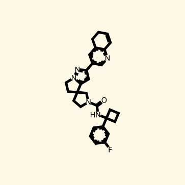 O=C(NC1(c2cccc(F)c2)CCC1)N1CCC2(CCn3nc(-c4cnc5c(c4)CCC=C5)cc32)C1